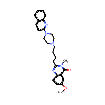 COc1ccc2nc(CCCCN3CCN(c4ccc5ccccc5n4)CC3)n(C)c(=O)c2c1